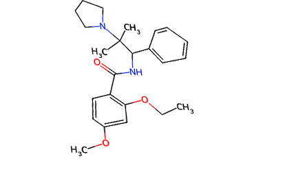 CCOc1cc(OC)ccc1C(=O)NC(c1ccccc1)C(C)(C)N1CCCC1